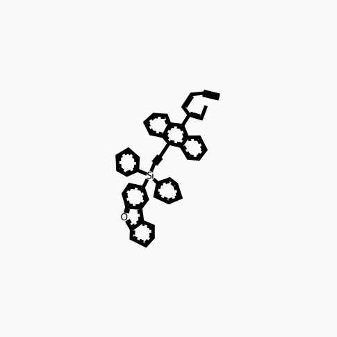 C#C/C=C\C(=C/C)c1c2ccccc2c(C#C[Si](c2ccccc2)(c2ccccc2)c2ccc3oc4ccccc4c3c2)c2ccccc12